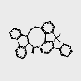 C=C1C2C(CCc3cccc(C(F)(F)F)c3-c3cc(-c4ccccc4)cc[n+]31)c1ccccc1-c1cccc[n+]12